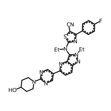 CCN(c1nc(-c2ccc(F)cc2)c(C#N)s1)c1c2nc(-c3cnc(N4CCC(O)CC4)nc3)ccc2nn1CC